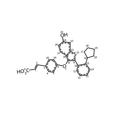 O=C(O)C=Cc1ccc(Oc2c(-c3ccccc3C3CCCC3)sc3cc(O)ccc23)cc1